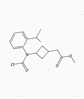 COC(=O)CC1CC(N(C(=O)Cl)c2ccccc2C(C)C)C1